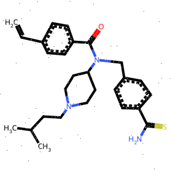 C=Cc1ccc(C(=O)N(Cc2ccc(C(N)=S)cc2)C2CCN(CCC(C)C)CC2)cc1